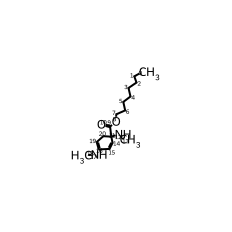 CCCCCCCCOC(=O)C1(NC)C=CC(NC)=CC1